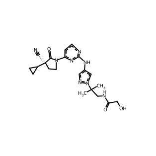 CC(C)(CNC(=O)CO)n1cc(Nc2nccc(N3CC[C@@](C#N)(C4CC4)C3=O)n2)cn1